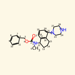 CN(C(=O)OCc1ccccc1)C1CCCc2c1cccc2N1CCNCC1